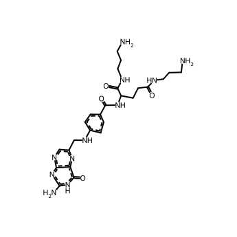 NCCCNC(=O)CCC(NC(=O)c1ccc(NCc2cnc3nc(N)[nH]c(=O)c3n2)cc1)C(=O)NCCCN